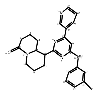 O=C1CCCC2C(c3nc(Nc4cccc(F)c4)cc(-c4cccnc4)n3)CCCN12